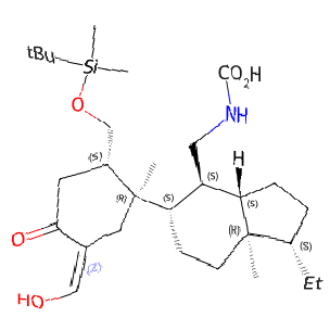 CC[C@H]1CC[C@H]2[C@H](CNC(=O)O)[C@@H]([C@@]3(C)C/C(=C/O)C(=O)C[C@@H]3CO[Si](C)(C)C(C)(C)C)CC[C@]12C